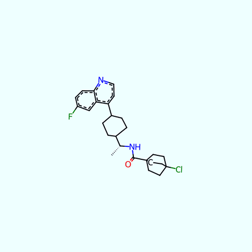 C[C@@H](NC(=O)C12CCC(Cl)(CC1)CC2)C1CCC(c2ccnc3ccc(F)cc23)CC1